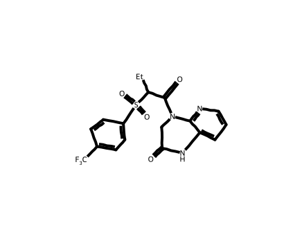 CCC(C(=O)N1CC(=O)Nc2cccnc21)S(=O)(=O)c1ccc(C(F)(F)F)cc1